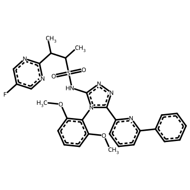 COc1cccc(OC)c1-n1c(NS(=O)(=O)C(C)C(C)c2ncc(F)cn2)nnc1-c1cccc(-c2ccccc2)n1